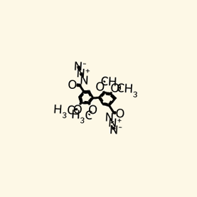 COc1cc(C(=O)N=[N+]=[N-])cc(-c2cc(C(=O)N=[N+]=[N-])cc(OC)c2OC)c1OC